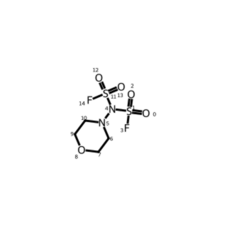 O=S(=O)(F)N(N1CCOCC1)S(=O)(=O)F